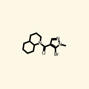 Cn1ncc(C(=O)N2CCCC3CCCCC32)c1Br